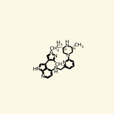 Cc1nn(C)cc1-c1c[nH]c2nccc(NCc3cccc(N4C[C@@H](C)N[C@@H](C)C4)n3)c12